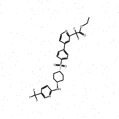 CCOC(=O)C(F)(F)c1cc(-c2ccc(S(=O)(=O)[C@H]3CC[C@H](Nc4ccc(C(F)(F)F)cn4)CC3)cc2)ccn1